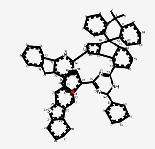 CC1(C)c2ccccc2C2(c3ccc(-c4nc(-c5ccc6c(c5)sc5ccccc56)c5c(n4)-c4ccccc4C5)cc3-c3c(C4=NC(c5c#cccc5)=NC(c5ccccc5)N4)cccc32)c2ccccc21